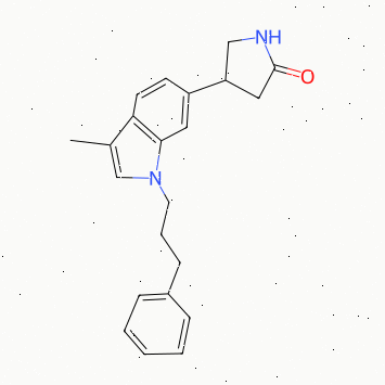 Cc1cn(CCCc2ccccc2)c2cc(C3CNC(=O)C3)ccc12